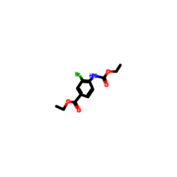 CCOC(=O)Nc1ccc(C(=O)OCC)cc1Br